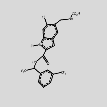 CCn1c(C(=O)NC(c2cccc(C(F)(F)F)c2)C(F)(F)F)cc2cc(CNC(=O)O)c(Cl)cc21